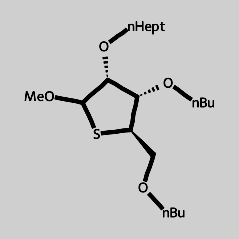 CCCCCCCO[C@H]1C(OC)S[C@H](COCCCC)[C@H]1OCCCC